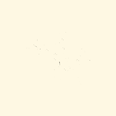 CN(C)[C@@H]1CCN(c2cc(N3CCC3)nc3cc([C@@H]4CCCCN4C(=O)c4cc(Cl)ccc4N[S+](C)[O-])nn23)C1